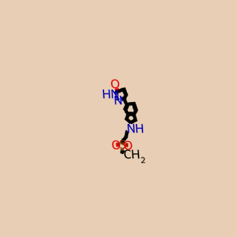 C=CS(=O)(=O)CCCNC1Cc2ccc(-c3ccc(=O)[nH]n3)cc2C1